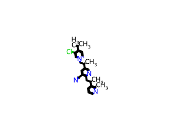 Cc1ncccc1C(C)Cc1ncc(C(C)C[n+]2ccc(C(C)C)c(Cl)c2)cc1C#N